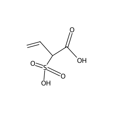 C=CC(C(=O)O)S(=O)(=O)O